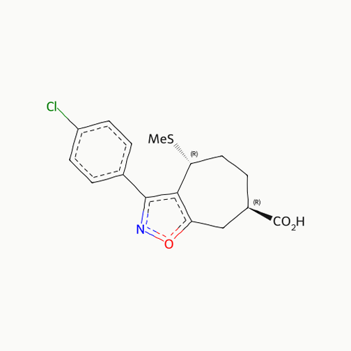 CS[C@@H]1CC[C@@H](C(=O)O)Cc2onc(-c3ccc(Cl)cc3)c21